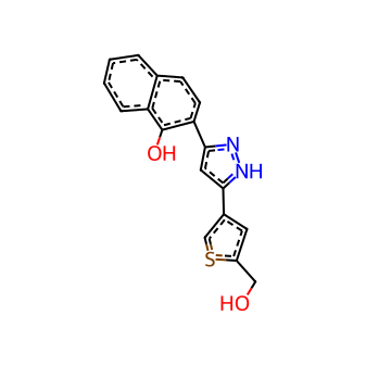 OCc1cc(-c2cc(-c3ccc4ccccc4c3O)n[nH]2)cs1